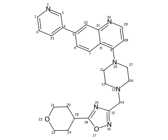 c1cncc(-c2ccc3c(N4CCN(Cc5noc(C6CCOCC6)n5)CC4)ccnc3c2)c1